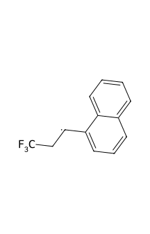 FC(F)(F)C[CH]c1cccc2ccccc12